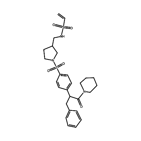 C=CS(=O)(=O)NCC1CCN(S(=O)(=O)c2ccc(C(Cc3ccccc3)C(=O)N3CCCCC3)cc2)C1